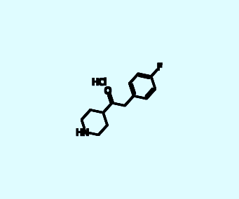 Cl.O=C(Cc1ccc(F)cc1)C1CCNCC1